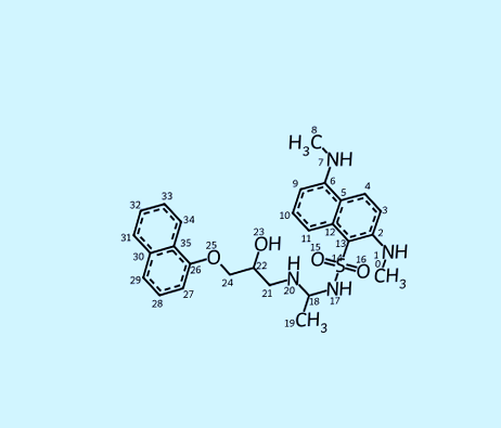 CNc1ccc2c(NC)cccc2c1S(=O)(=O)NC(C)NCC(O)COc1cccc2ccccc12